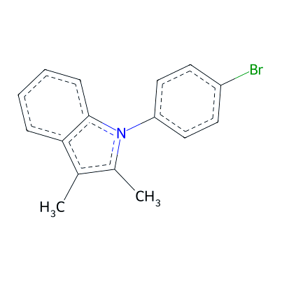 Cc1c(C)n(-c2ccc(Br)cc2)c2ccccc12